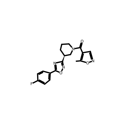 Cc1oncc1C(=O)N1CCC[C@H](c2noc(-c3ccc(F)cc3)n2)C1